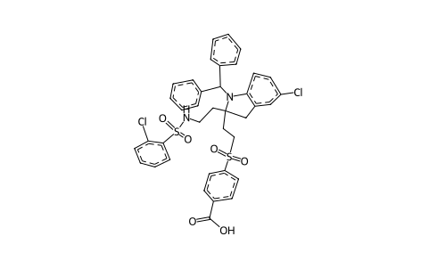 O=C(O)c1ccc(S(=O)(=O)CCC2(CCNS(=O)(=O)c3ccccc3Cl)Cc3cc(Cl)ccc3N2C(c2ccccc2)c2ccccc2)cc1